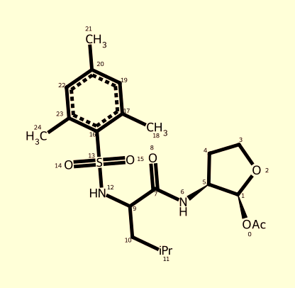 CC(=O)O[C@@H]1OCC[C@@H]1NC(=O)C(CC(C)C)NS(=O)(=O)c1c(C)cc(C)cc1C